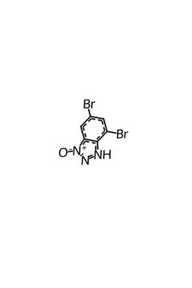 [O-][n+]1n[nH]c2c(Br)cc(Br)cc21